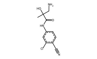 CC(O)(CN)C(=O)Nc1ccc(C#N)c(Cl)c1